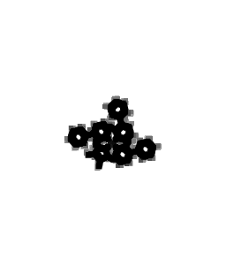 CC1=C(C)C(C)C([Si](c2cccc(-c3ccccc3)c2C)(c2cccc(-c3ccccc3)c2C)c2cccc(-c3ccccc3)c2C)=C1C